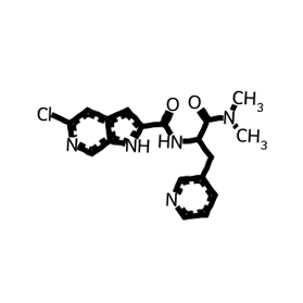 CN(C)C(=O)C(Cc1cccnc1)NC(=O)c1cc2cc(Cl)ncc2[nH]1